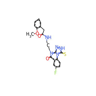 COc1ccccc1CC(=O)NCCCn1c(=O)c2cc(F)ccc2n2c(=S)[nH]nc12